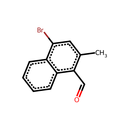 Cc1cc(Br)c2ccccc2c1C=O